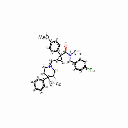 COc1ccc(C2(C(=O)N(C)Cc3ccc(F)cc3)CC2CN2CCC(NC(C)=O)(c3ccccc3)CC2)cc1